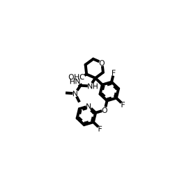 CN(C)C(=N)NC1(c2cc(Oc3ncccc3F)c(F)cc2F)COCCC1C=O